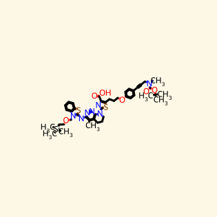 Cc1c(/N=c2\sc3ccccc3n2COCC[Si](C)(C)C)nnc2c1CCCN2c1nc(C(=O)O)c(CCCOc2ccc(C#CCN(C)C(=O)OC(C)(C)C)cc2)s1